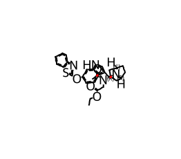 CCOC(=O)CN(C(C)=O)[C@H]1C[C@H]2CC[C@@H](C1)N2Cc1c[nH]c2cc(Oc3nc4ccccc4s3)ccc12